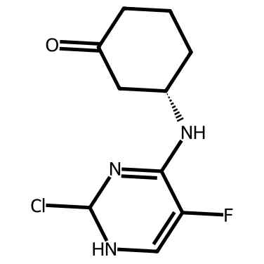 O=C1CCC[C@H](NC2=NC(Cl)NC=C2F)C1